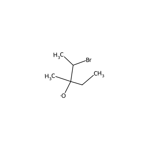 CCC(C)([O])C(C)Br